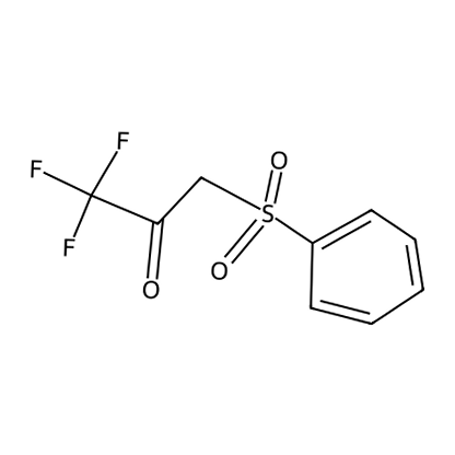 O=C(CS(=O)(=O)c1ccccc1)C(F)(F)F